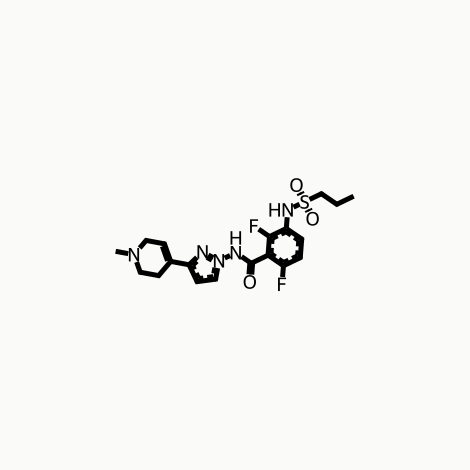 CCCS(=O)(=O)Nc1ccc(F)c(C(=O)Nn2ccc(C3=CCN(C)CC3)n2)c1F